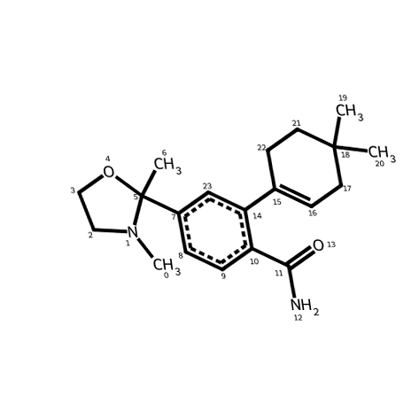 CN1CCOC1(C)c1ccc(C(N)=O)c(C2=CCC(C)(C)CC2)c1